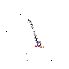 CCCCCCCCCCCCCCCCCCCCCC1=NC(CO)(CO)CO1